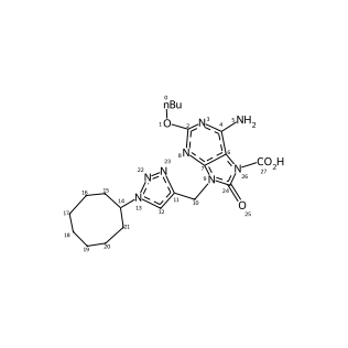 CCCCOc1nc(N)c2c(n1)n(Cc1cn(C3CCCCCCC3)nn1)c(=O)n2C(=O)O